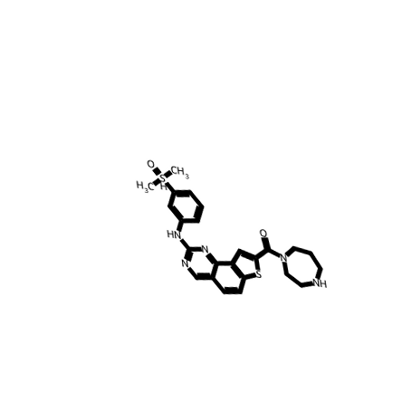 C[SH](C)(=O)c1cccc(Nc2ncc3ccc4sc(C(=O)N5CCCNCC5)cc4c3n2)c1